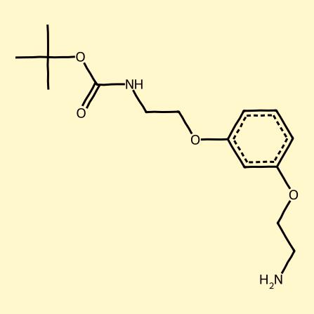 CC(C)(C)OC(=O)NCCOc1cccc(OCCN)c1